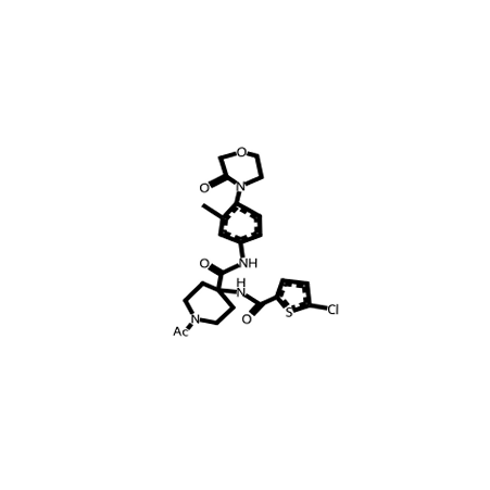 CC(=O)N1CCC(NC(=O)c2ccc(Cl)s2)(C(=O)Nc2ccc(N3CCOCC3=O)c(C)c2)CC1